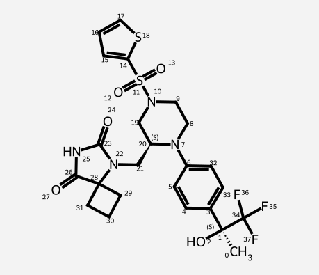 C[C@](O)(c1ccc(N2CCN(S(=O)(=O)c3cccs3)C[C@@H]2CN2C(=O)NC(=O)C23CCC3)cc1)C(F)(F)F